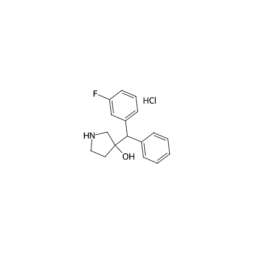 Cl.OC1(C(c2ccccc2)c2cccc(F)c2)CCNC1